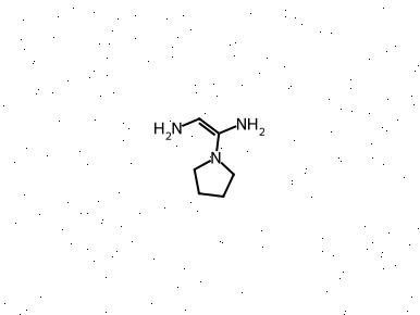 N/C=C(/N)N1CCCC1